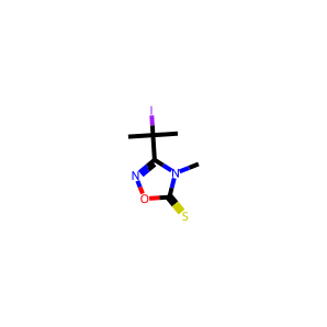 Cn1c(C(C)(C)I)noc1=S